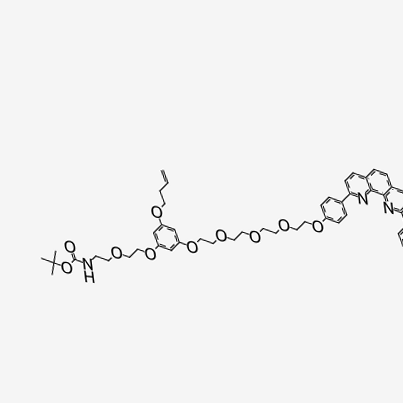 C=CCCOc1ccc(-c2ccc3ccc4ccc(-c5ccc(OCCOCCOCCOCCOc6cc(OCCC=C)cc(OCCOCCNC(=O)OC(C)(C)C)c6)cc5)nc4c3n2)cc1